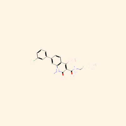 Cn1c(=O)c(C(=O)NCC(=O)O)c(O)c2ccc(-c3cccc(Cl)c3)cc21